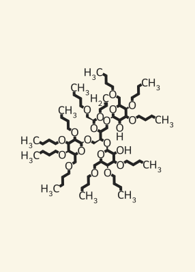 C=CCO[C@H](COCCCC)OC(CO[C@@H]1OC(COCCCC)[C@@H](OCCCC)C(OCCCC)C1O)[C@H](CO[C@@H]1OC(COCCCC)[C@@H](OCCCC)C(OCCCC)C1OCCCC)O[C@@H]1OC(COCCCC)[C@@H](OCCCC)C(OCCCC)C1O